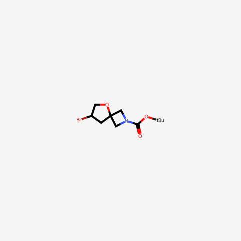 CC(C)(C)OC(=O)N1CC2(CC(Br)CO2)C1